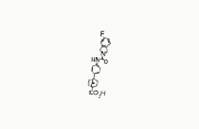 O=C(Nc1ccc(C23CCC(C(=O)O)(CC2)CC3)cc1)N1Cc2ccc(F)cc2C1